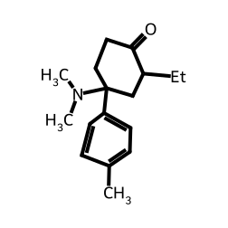 CCC1CC(c2ccc(C)cc2)(N(C)C)CCC1=O